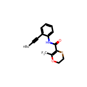 CCCCC#Cc1ccccc1NC(=O)C1=C(C(F)(F)F)OCCS1